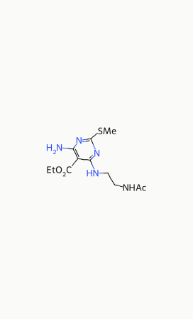 CCOC(=O)c1c(N)nc(SC)nc1NCCNC(C)=O